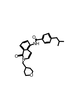 CC(C)Cc1ccc(C(=O)Nc2cccc3c(=O)n(CC4CCOCC4)ccc23)cc1